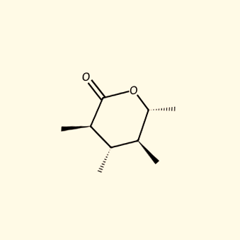 C[C@H]1[C@H](C)[C@@H](C)C(=O)O[C@@H]1C